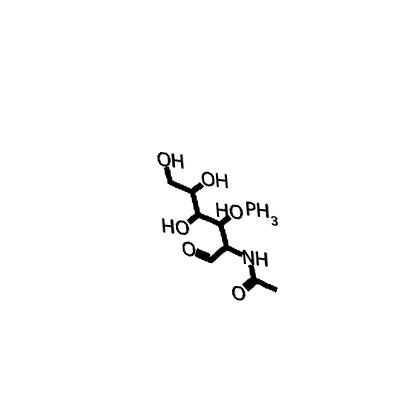 CC(=O)NC(C=O)C(O)C(O)C(O)CO.P